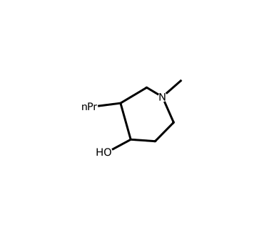 CCCC1CN(C)CCC1O